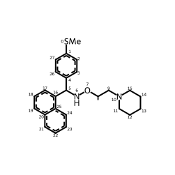 CSc1ccc(C(NOCCN2CCCCC2)c2cccc3ccccc23)cc1